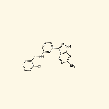 Nc1ncc2c(-c3cccc(NCc4ccccc4Cl)c3)n[nH]c2n1